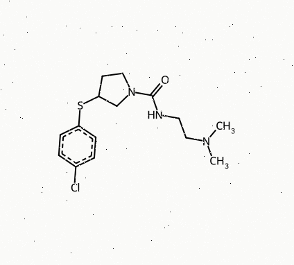 CN(C)CCNC(=O)N1CCC(Sc2ccc(Cl)cc2)C1